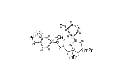 C=C(CCCC1(CCC)CC(CCC)CC(c2cncc(CC)c2)C1)c1ccc(CC(C)C)c(C)c1